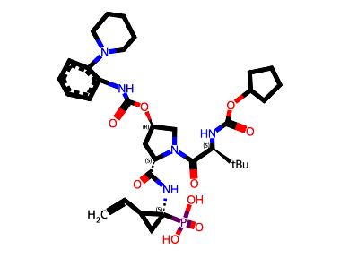 C=CC1C[C@]1(NC(=O)[C@@H]1C[C@@H](OC(=O)Nc2ccccc2N2CCCCC2)CN1C(=O)[C@@H](NC(=O)OC1CCCC1)C(C)(C)C)P(=O)(O)O